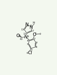 COc1ccc(Cl)cc1N(C=O)c1cnn(C)c1